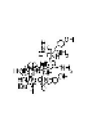 CC[C@H](C)[C@H](NC(=O)CNC(=O)[C@H](Cc1ccc(O)cc1)NC(=O)[C@H](CCSC)NC(=O)[C@H](CCCCN)NC(=O)[C@H](CCC(N)=O)NC(=O)[C@@H](N)Cc1ccc(O)cc1)C(=O)N[C@@H](CO)C(=O)N[C@@H](CC(C)C)C(=O)O